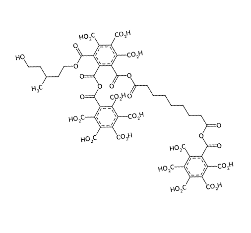 CC(CCO)CCOC(=O)c1c(C(=O)O)c(C(=O)O)c(C(=O)O)c(C(=O)OC(=O)CCCCCCCC(=O)OC(=O)c2c(C(=O)O)c(C(=O)O)c(C(=O)O)c(C(=O)O)c2C(=O)O)c1C(=O)OC(=O)c1c(C(=O)O)c(C(=O)O)c(C(=O)O)c(C(=O)O)c1C(=O)O